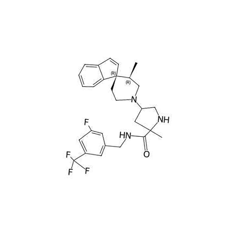 C[C@H]1CN(C2CNC(C)(C(=O)NCc3cc(F)cc(C(F)(F)F)c3)C2)CC[C@@]12C=Cc1ccccc12